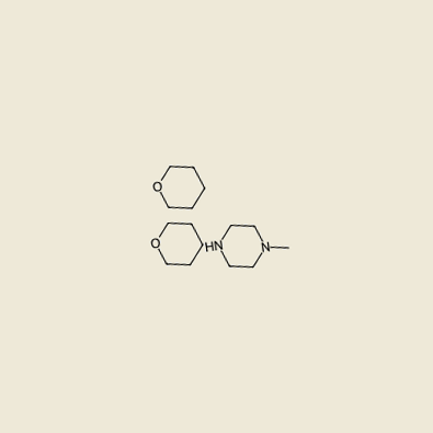 C1CCOCC1.C1CCOCC1.CN1CCNCC1